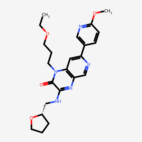 CCOCCCn1c(=O)c(NC[C@@H]2CCCO2)nc2cnc(-c3ccc(OC)nc3)cc21